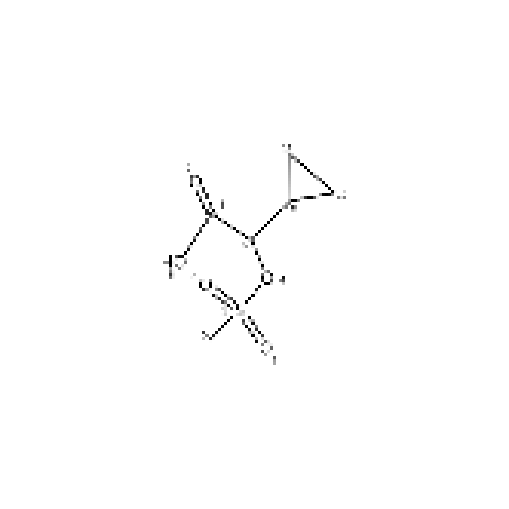 CS(=O)(=O)OC(C(=O)O)C1CC1